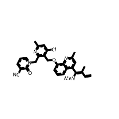 C=C/C(C)=C(\NC)c1cc(C)nc2c(OCc3c(Cl)cc(C)nc3Cn3cccc(C#N)c3=O)cccc12